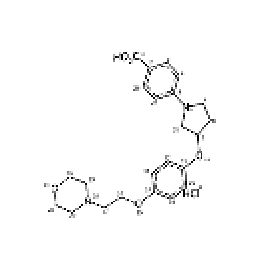 Cl.O=C(O)c1ccc(N2CCC(Oc3ccc(OCCN4CCOCC4)cc3)C2)cc1